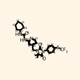 CC1(C)C(=O)N(c2ccc(SC(F)(F)F)cc2)C(=O)N1Cc1ccnc(NC(=O)NC2CCCCC2)c1